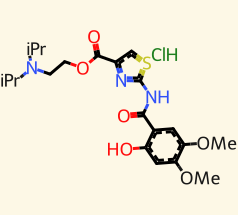 COc1cc(O)c(C(=O)Nc2nc(C(=O)OCCN(C(C)C)C(C)C)cs2)cc1OC.Cl